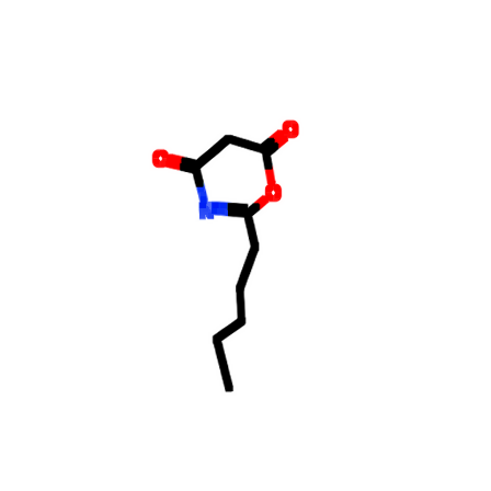 CCCCCC1=NC(=O)CC(=O)O1